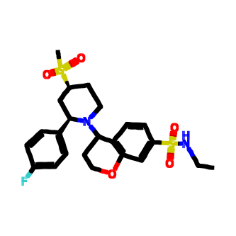 CCNS(=O)(=O)c1ccc2c(c1)OCCC2N1CC[C@H](S(C)(=O)=O)C[C@@H]1c1ccc(F)cc1